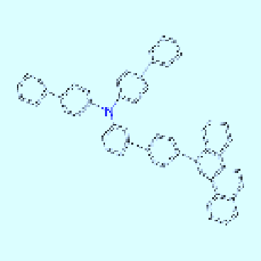 c1ccc(-c2ccc(N(c3ccc(-c4ccccc4)cc3)c3cccc(-c4ccc(-c5cc6c7ccccc7ccc6c6ccccc56)cc4)c3)cc2)cc1